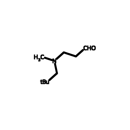 CN(CCC=O)CC(C)(C)C